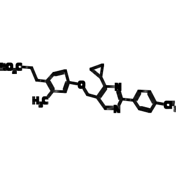 CCOC(=O)CCc1ccc(OCc2cnc(-c3ccc(C(F)(F)F)cc3)nc2C2CC2)cc1C